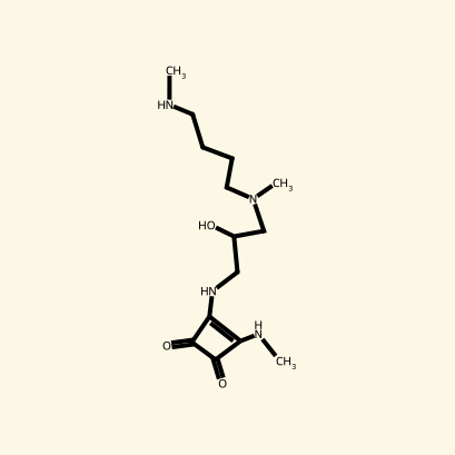 CNCCCCN(C)CC(O)CNc1c(NC)c(=O)c1=O